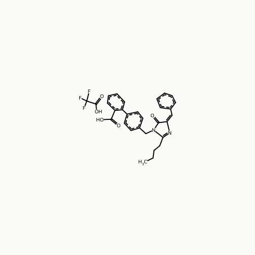 CCCCC1=N/C(=C/c2ccccc2)C(=O)N1Cc1ccc(-c2ccccc2C(=O)O)cc1.O=C(O)C(F)(F)F